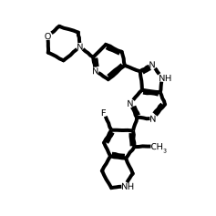 Cc1c2c(cc(F)c1-c1ncc3[nH]nc(-c4ccc(N5CCOCC5)nc4)c3n1)CCNC2